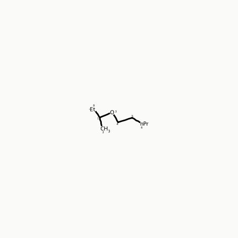 C[CH]C(C)OCCCCC